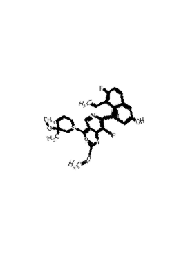 CCc1c(F)ccc2cc(O)cc(-c3ncc4c(N5CCCC(C)(OC)C5)nc(OC)nc4c3F)c12